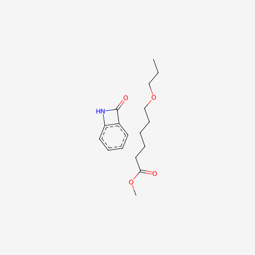 CCCOCCCCCC(=O)OC.O=C1Nc2ccccc21